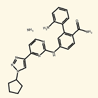 N.NC(=O)c1ccc(Nc2nccc(-c3cn(C4CCCC4)nn3)n2)cc1-c1ccccc1N